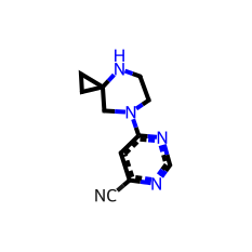 N#Cc1cc(N2CCNC3(CC3)C2)ncn1